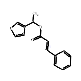 CC(OC(=O)/C=C/c1ccccc1)c1ccsc1